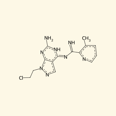 Cc1cccnc1C(=N)/N=c1\[nH]c(N)nc2c1cnn2CCCl